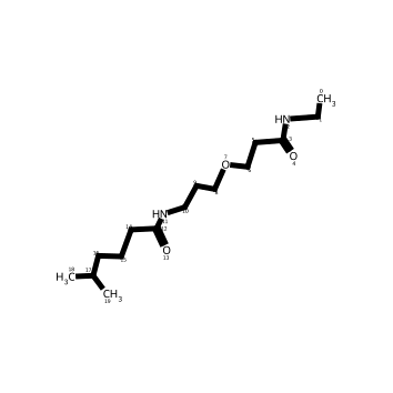 CCNC(=O)CCOCCCNC(=O)CCCC(C)C